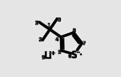 CC(C)(C)C1=C[S-]C=C1.[Li+]